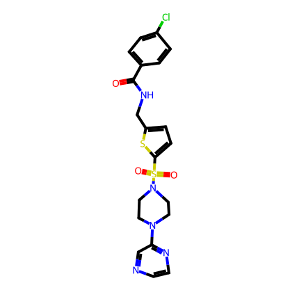 O=C(NCc1ccc(S(=O)(=O)N2CCN(c3cnccn3)CC2)s1)c1ccc(Cl)cc1